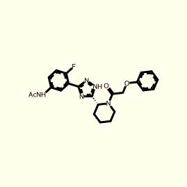 CC(=O)Nc1ccc(F)c(-c2n[nH]c([C@H]3CCCCN3C(=O)COc3ccccc3)n2)c1